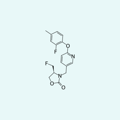 Cc1ccc(Oc2ccc(CN3C(=O)OC[C@H]3CF)cn2)c(F)c1